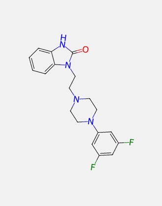 O=c1[nH]c2ccccc2n1CCN1CCN(c2cc(F)cc(F)c2)CC1